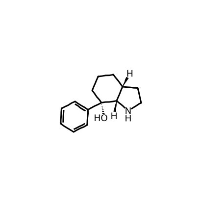 O[C@]1(c2ccccc2)CCC[C@@H]2CCN[C@@H]21